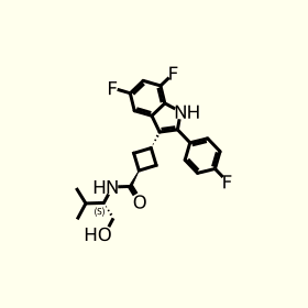 CC(C)[C@@H](CO)NC(=O)[C@H]1C[C@H](c2c(-c3ccc(F)cc3)[nH]c3c(F)cc(F)cc32)C1